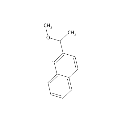 COC(C)c1[c]c2ccccc2cc1